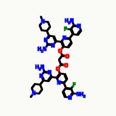 CN1CCC(c2cc(-c3nc(-c4ccnc(N)c4F)ccc3OC(=O)CC(=O)Oc3ccc(-c4ccnc(N)c4F)nc3-c3cc(C4CCN(C)CC4)nc(N)n3)nc(N)n2)CC1